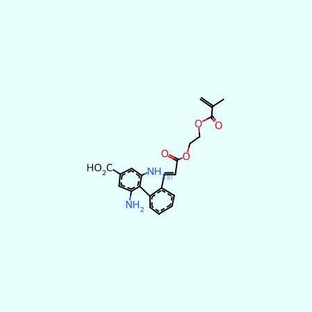 C=C(C)C(=O)OCCOC(=O)/C=C/c1ccccc1-c1c(N)cc(C(=O)O)cc1N